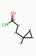 CC1(CCC(=O)Cl)CC1